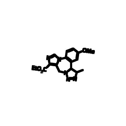 CCOC(=O)c1ncn2c1CN1N=NC(C)C1c1cc(OC)ccc1-2